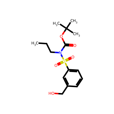 CCCN(C(=O)OC(C)(C)C)S(=O)(=O)c1cccc(CO)c1